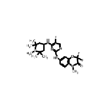 CN1C(=O)C(F)(F)Oc2cc(Nc3ncc(F)c(NC4CC(C)(C)N(C)C(C)(C)C4)n3)ccc21